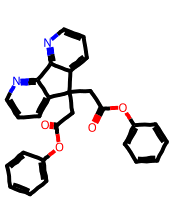 O=C(CC1(CC(=O)Oc2ccccc2)c2cccnc2-c2ncccc21)Oc1ccccc1